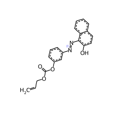 C=CCOC(=O)Oc1cccc(/N=N/c2c(O)ccc3ccccc23)c1